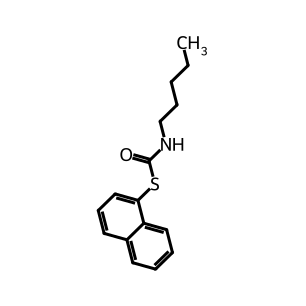 CCCCCNC(=O)Sc1cccc2ccccc12